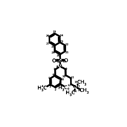 Cc1cc(C)cc(CN(CCCC[N+](C)(C)C)S(=O)(=O)c2ccc3ccccc3c2)c1